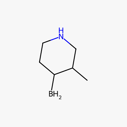 BC1CCNCC1C